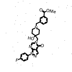 COC(=O)c1cccc(CN2CCC(O)(Cn3cnc4c(cnn4-c4ccc(F)cc4)c3=O)CC2)c1